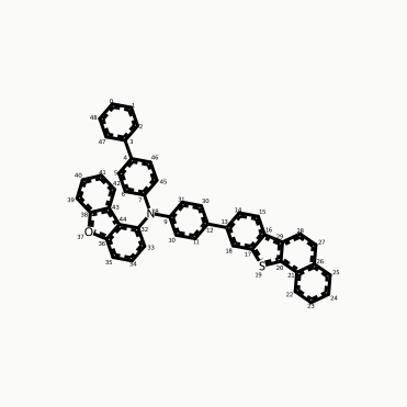 c1ccc(-c2ccc(N(c3ccc(-c4ccc5c(c4)sc4c6ccccc6ccc54)cc3)c3cccc4oc5ccccc5c34)cc2)cc1